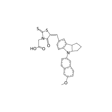 COc1ccc2cc(N3c4ccc(/C=C5/SC(=S)N(CC(=O)O)C5=O)cc4C4CCCC43)ccc2c1